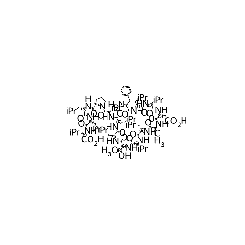 CC(C)C[C@H](NC(=O)[C@H](C)NC(=O)[C@H](CC(=O)O)NC(=O)[C@@H](NC(=O)[C@H](CC(C)C)NC(=O)[C@@H](N)Cc1ccccc1)C(C)C)C(=O)N[C@H](C(=O)N[C@H](C(=O)N[C@@H](CC(C)C)C(=O)N[C@@H](CC(C)C)C(=O)N[C@H](C(=O)N1CCC[C@H]1C(=O)N[C@@H](CC(C)C)C(=O)N[C@@H](CC(C)C)C(=O)N[C@H](C(=O)O)C(C)C)C(C)C)[C@@H](C)O)C(C)C